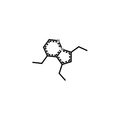 CCc1ccnn2c(CC)cc(CC)c12